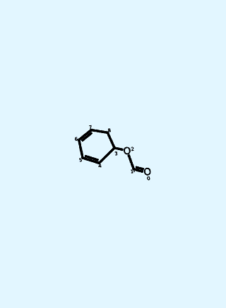 O=[C]OC1C=CC=CC1